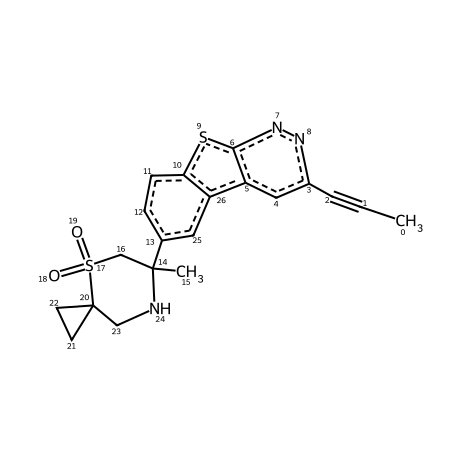 CC#Cc1cc2c(nn1)sc1ccc(C3(C)CS(=O)(=O)C4(CC4)CN3)cc12